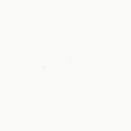 O=S(=O)(NOCCN1CCCC1)c1ccccc1